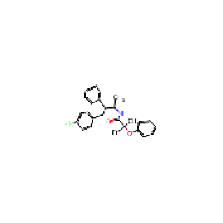 CCC(C)(Oc1ccccc1)C(=O)NC(C)C(Cc1ccc(Cl)cc1)c1ccccc1